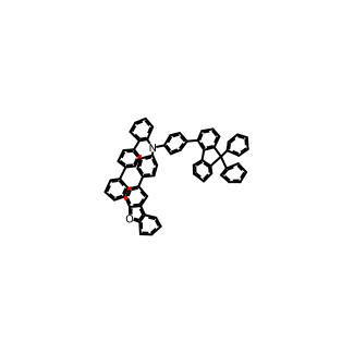 c1ccc(-c2ccc(-c3ccccc3N(c3ccc(-c4ccc5oc6ccccc6c5c4)cc3)c3ccc(-c4cccc5c4-c4ccccc4C5(c4ccccc4)c4ccccc4)cc3)cc2)cc1